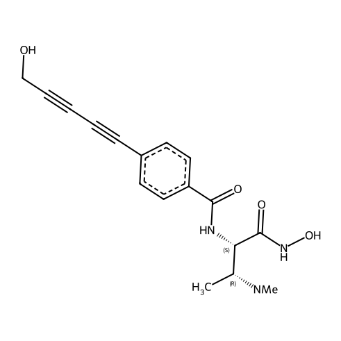 CN[C@H](C)[C@H](NC(=O)c1ccc(C#CC#CCO)cc1)C(=O)NO